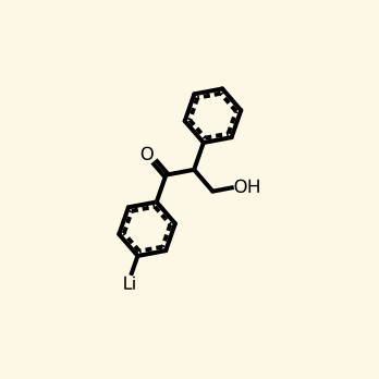 [Li][c]1ccc(C(=O)C(CO)c2ccccc2)cc1